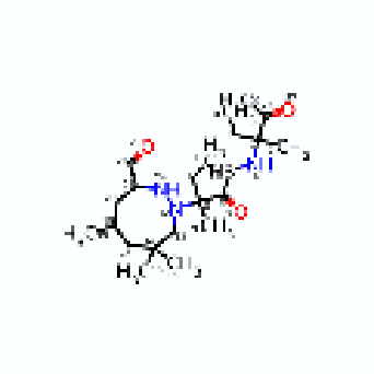 CCC(C)(NBC(=O)C(C)(CC)N1CC(C)(C)CC(C)CC(C=O)N1)C(C)=O